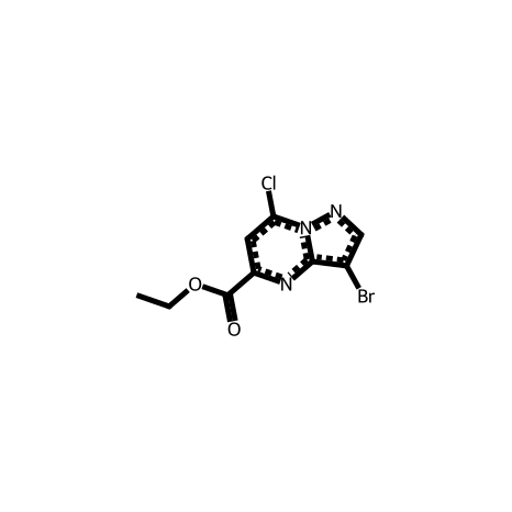 CCOC(=O)c1cc(Cl)n2ncc(Br)c2n1